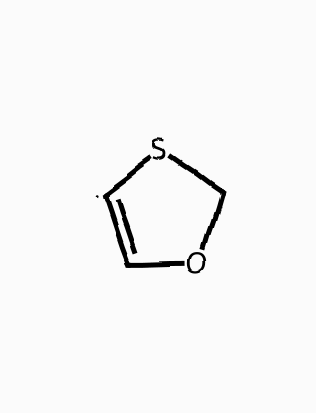 [C]1=COCS1